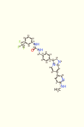 CNc1ccc(C2=CC3=NCC(c4ccc(CNC(=O)Nc5cccc(C(F)(F)F)c5)cc4)N3C=C2)cn1